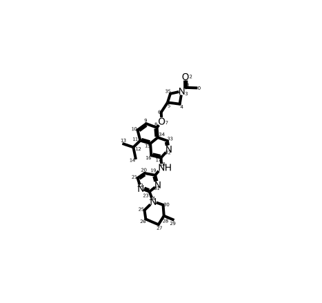 CC(=O)N1CC(COc2ccc(C(C)C)c3cc(Nc4ccnc(N5CCCC(C)C5)n4)ncc23)C1